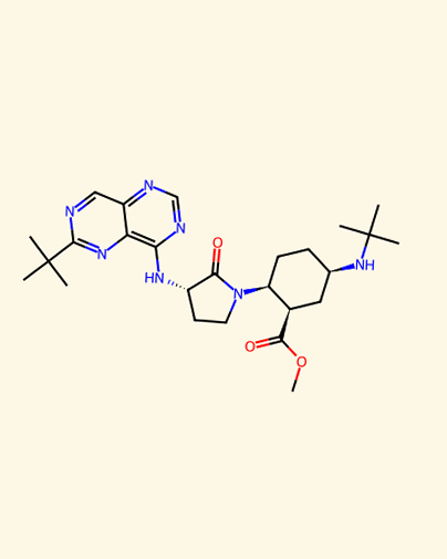 COC(=O)[C@@H]1C[C@H](NC(C)(C)C)CC[C@@H]1N1CC[C@H](Nc2ncnc3cnc(C(C)(C)C)nc23)C1=O